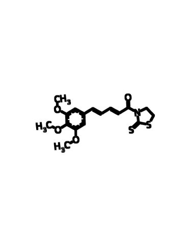 COc1cc(C=CC=CC(=O)N2CCSC2=S)cc(OC)c1OC